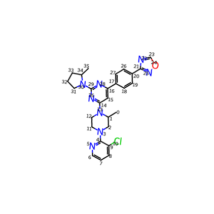 CC1CN(c2ncccc2Cl)CCN1c1cc(-c2ccc(-c3ncon3)cc2)nc(N2CCCC2C)n1